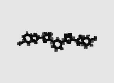 Fc1ccc2nc(-c3nnc(-c4cccc(-c5nnc(-c6nc7ccc(F)cc7s6)o5)c4)o3)sc2c1